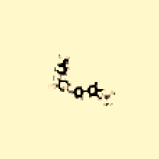 Cc1cc(-c2ccc(SN3CCC(Nc4ccc(C(F)(F)F)cn4)C(O)C3)cc2)cc2c1CN(C(=O)N(C)C)C2